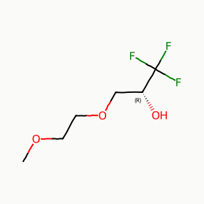 COCCOC[C@@H](O)C(F)(F)F